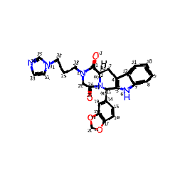 O=C1[C@H]2Cc3c([nH]c4ccccc34)[C@@H](c3ccc4c(c3)OCO4)N2C(=O)CN1CCCn1ccnc1